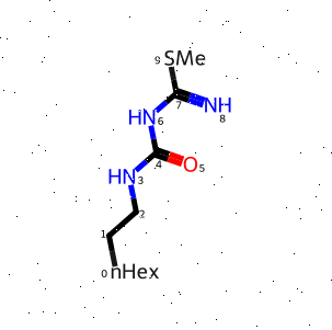 CCCCCCCCNC(=O)NC(=N)SC